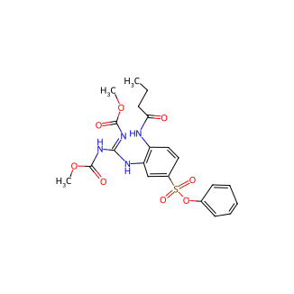 CCCC(=O)Nc1ccc(S(=O)(=O)Oc2ccccc2)cc1NC(=NC(=O)OC)NC(=O)OC